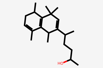 CC1=CCC(C)C2=C1C(C)C(C(C)CCC(C)O)=CC2(C)C